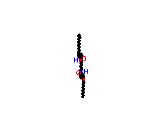 CCCCCCCCCCCCc1ccc(C(=O)NCCCCCCNC(=O)c2ccc(CCCCCCCCCCCC)cc2)cc1